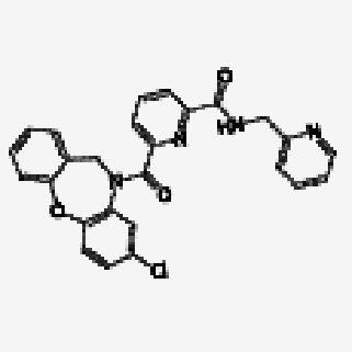 O=C(NCc1ccccn1)c1cccc(C(=O)N2Cc3ccccc3Oc3ccc(Cl)cc32)n1